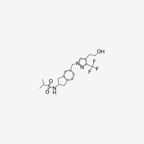 CC(C)S(=O)(=O)NC1Cc2ccc(Cn3cc(CCO)c(C(F)(F)F)n3)cc2C1